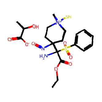 CC(O)C(=O)[O-].CCOC(=O)C(N)(C1(N=O)CC[N+](C)(S)CC1)S(=O)(=O)c1ccccc1